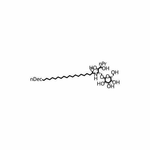 CCCCCCCCCCCCCCCCCCCCCCCCCCCC(=O)N[C@@H](CO[C@H]1O[C@H](CO)[C@H](O)[C@H](O)[C@H]1O)[C@H](O)[C@H](O)CCC